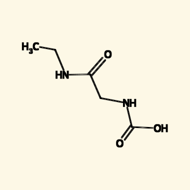 CCNC(=O)CNC(=O)O